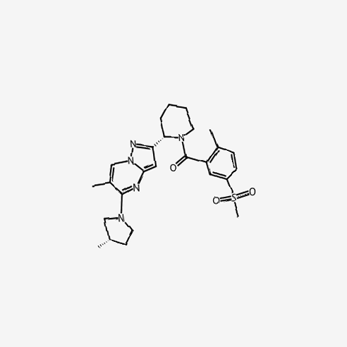 Cc1ccc(S(C)(=O)=O)cc1C(=O)N1CCCC[C@H]1c1cc2nc(N3CC[C@H](C)C3)c(C)cn2n1